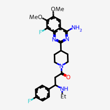 CCNC(CC(=O)N1CCC(c2nc(N)c3cc(OC)c(OC)c(F)c3n2)CC1)c1ccc(F)cc1